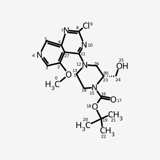 COc1cncc2nc(Cl)nc(N3CCN(C(=O)OC(C)(C)C)[C@@H](CO)C3)c12